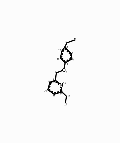 CCc1ccc(OCc2cccc(CC)n2)cc1